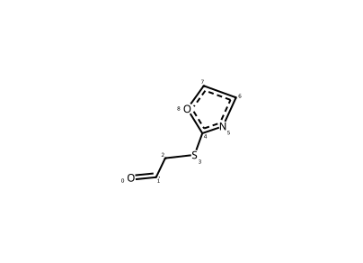 O=[C]CSc1ncco1